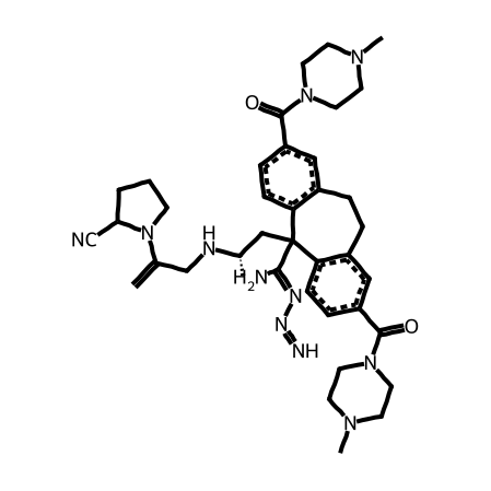 C=C(CN[C@@H](C)CC1(/C(N)=N/N=N)c2ccc(C(=O)N3CCN(C)CC3)cc2CCc2cc(C(=O)N3CCN(C)CC3)ccc21)N1CCCC1C#N